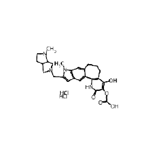 CN1CCC2CN(Cc3cc4cc5c(cc4n3C)CCCc3c-5[nH]c(=O)c(OC(=O)O)c3O)CC21.Cl.Cl